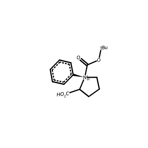 CC(C)(C)OC(=O)[N@+]1(c2ccccc2)CCCC1C(=O)O